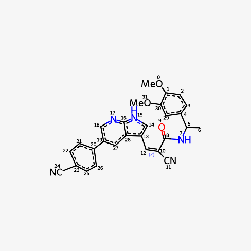 COc1ccc(C(C)NC(=O)/C(C#N)=C\c2c[nH]c3ncc(-c4ccc(C#N)cc4)cc23)cc1OC